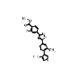 COC(=O)c1ccc(-c2noc(-c3ccc(-c4cscc4C)c(C)c3)n2)cc1F